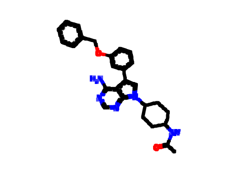 CC(=O)NC1CCC(n2cc(-c3cccc(OCc4ccccc4)c3)c3c(N)ncnc32)CC1